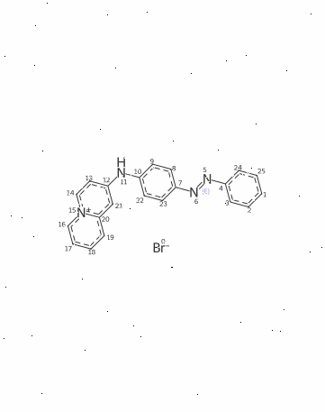 [Br-].c1ccc(/N=N/c2ccc(Nc3cc[n+]4ccccc4c3)cc2)cc1